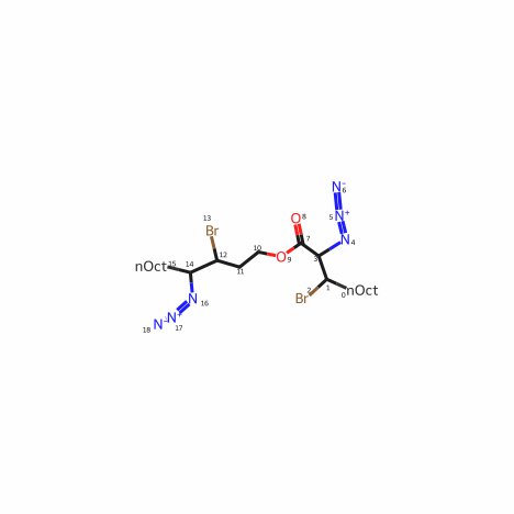 CCCCCCCCC(Br)C(N=[N+]=[N-])C(=O)OCCC(Br)C(CCCCCCCC)N=[N+]=[N-]